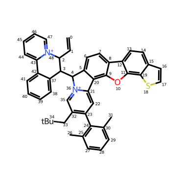 C=CC1C(C2c3ccc4c(oc5c4ccc4ccsc45)c3-c3cc(-c4c(C)cccc4C)c(CC(C)(C)C)c[n+]32)c2ccccc2-c2cccc[n+]21